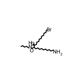 CCCCCNC(=O)C(CCCCCCCCCCN)C(=O)CCCCCCCCCCBr